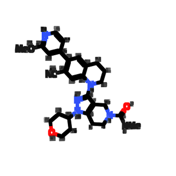 CNC(=O)N1CCc2c(c(N3CCCc4cc(-c5ccnc(OC)c5)c(C#N)cc43)nn2C2CCOCC2)C1